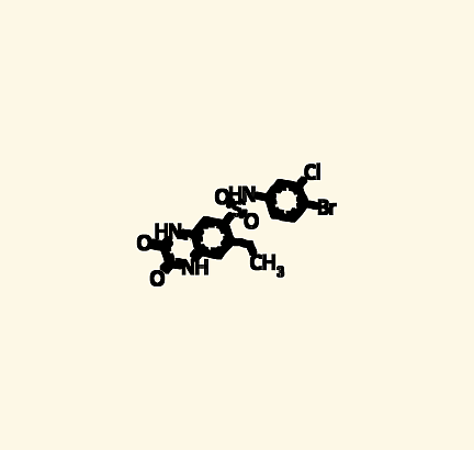 CCc1cc2[nH]c(=O)c(=O)[nH]c2cc1S(=O)(=O)Nc1ccc(Br)c(Cl)c1